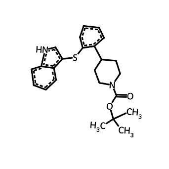 CC(C)(C)OC(=O)N1CCC(c2ccccc2Sc2c[nH]c3ccccc23)CC1